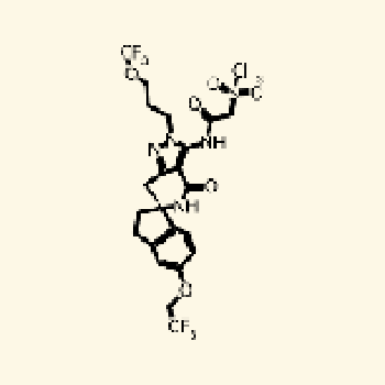 CS(=O)(=O)CC(=O)Nc1c2c(nn1CCCOC(F)(F)F)C[C@@]1(CCc3cc(OCC(F)(F)F)ccc31)NC2=O